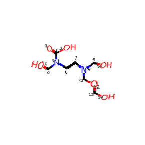 O=C(O)N(CO)CCN(CO)COCO